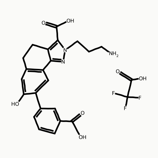 NCCCn1nc2c(c1C(=O)O)CCc1cc(O)c(-c3cccc(C(=O)O)c3)cc1-2.O=C(O)C(F)(F)F